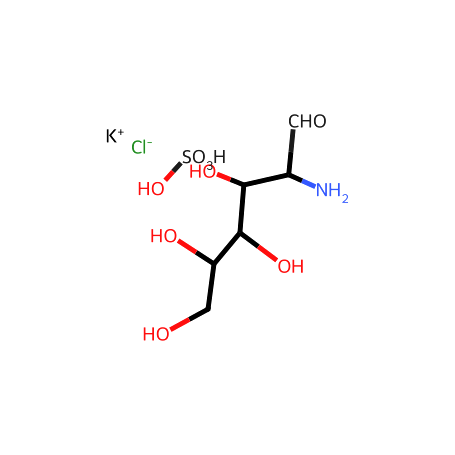 NC(C=O)C(O)C(O)C(O)CO.O=S(=O)(O)O.[Cl-].[K+]